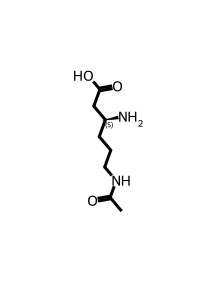 CC(=O)NCCC[C@H](N)CC(=O)O